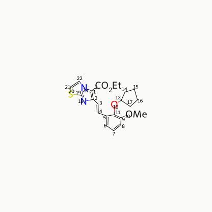 CCOC(=O)c1c(C=Cc2cccc(OC)c2OC2CCCC2)nc2sccn12